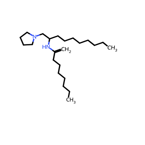 C=C(CCCCCCC)NC(CCCCCCCC)CN1CCCC1